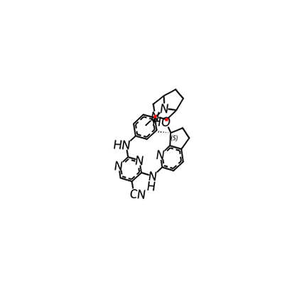 CN1CC2CCC(C1)N2c1ccc(Nc2ncc(C#N)c(Nc3ccc4c(n3)[C@@](C)(O)CC4)n2)cc1